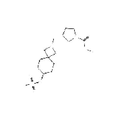 CCS(=O)(=O)NC1CCC2(CC1)CN(C[C@@H]1CCN(C(=O)OC(C)(C)C)C1)C2